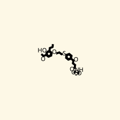 CCCc1c(OCCCSc2ccc(C(=O)CCC(=O)NS(C)(=O)=O)cc2)ccc(C(C)=O)c1O